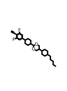 C#Cc1c(F)cc(C2CCC(C3OCC(C4CCC(CCCCC)CC4)CO3)CC2)cc1F